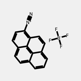 F[B-](F)(F)F.N#[N+]c1ccc2ccc3cccc4ccc1c2c34